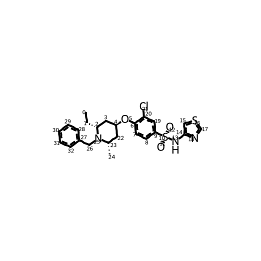 CC[C@@H]1C[C@@H](Oc2ccc(S(=O)(=O)Nc3cscn3)cc2Cl)C[C@H](C)N1Cc1ccccc1